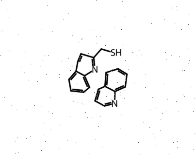 SCc1ccc2ccccc2n1.c1ccc2ncccc2c1